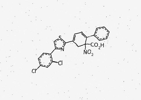 O=C(O)C1([N+](=O)[O-])CC(c2nc(-c3ccc(Cl)cc3Cl)cs2)=CC=C1c1ccccc1